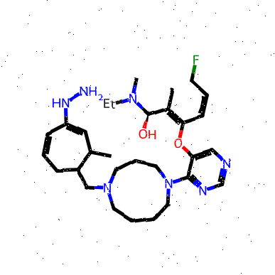 CCN(C)[C@H](O)/C(C)=C(/C=C\CF)Oc1cncnc1N1CCCCN(CC2CC=CC(NN)=CC2C)CCC1